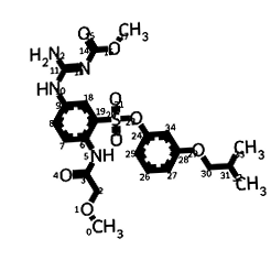 COCC(=O)Nc1ccc(NC(N)=NC(=O)OC)cc1S(=O)(=O)Oc1cccc(OCC(C)C)c1